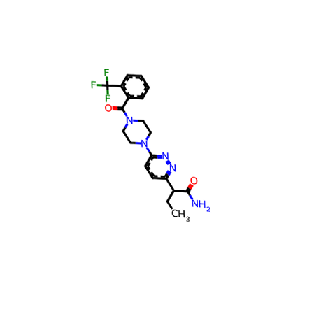 CCC(C(N)=O)c1ccc(N2CCN(C(=O)c3ccccc3C(F)(F)F)CC2)nn1